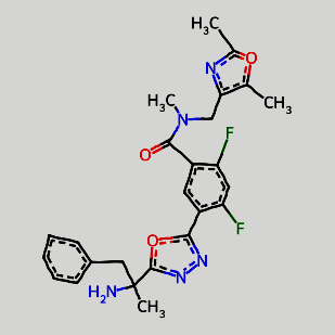 Cc1nc(CN(C)C(=O)c2cc(-c3nnc(C(C)(N)Cc4ccccc4)o3)c(F)cc2F)c(C)o1